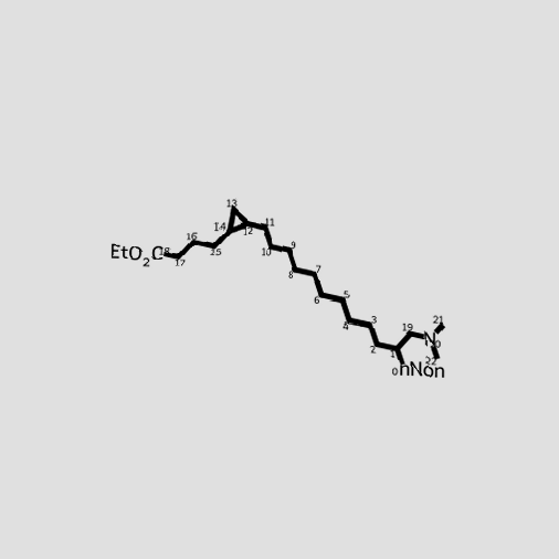 CCCCCCCCCC(CCCCCCCCCCC1CC1CCCC(=O)OCC)CN(C)C